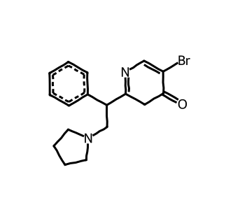 O=C1CC(C(CN2CCCC2)c2ccccc2)=NC=C1Br